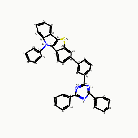 c1ccc(-c2nc(-c3ccccc3)nc(-c3cccc(-c4ccc5c(c4)sc4c6ccccc6n(-c6ccccc6)c54)c3)n2)cc1